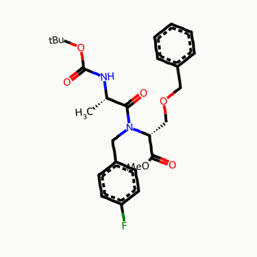 COC(=O)[C@@H](COCc1ccccc1)N(Cc1ccc(F)cc1)C(=O)[C@H](C)NC(=O)OC(C)(C)C